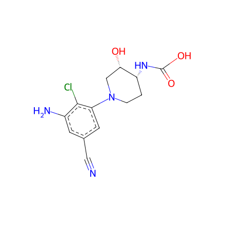 N#Cc1cc(N)c(Cl)c(N2CC[C@@H](NC(=O)O)[C@@H](O)C2)c1